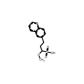 COC(CCc1ccc2ncccc2c1)S(=O)(=O)O